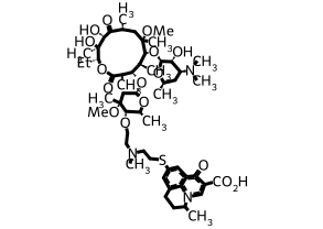 CC[C@H]1OC(=O)[C@H](C)[C@@H](O[C@H]2C[C@@](C)(OC)[C@@H](OCCN(C)CCSc3cc4c5c(c3)c(=O)c(C(=O)O)cn5C(C)CC4)[C@H](C)O2)[C@H](C)[C@@H](O[C@@H]2O[C@H](C)C[C@H](N(C)C)[C@H]2O)[C@](C)(OC)C[C@@H](C)C(=O)[C@@H](O)[C@]1(C)O